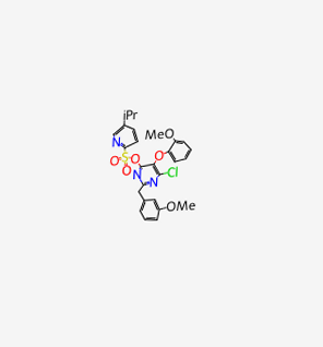 COc1cccc(Cc2nc(Cl)c(Oc3ccccc3OC)c(OS(=O)(=O)c3ccc(C(C)C)cn3)n2)c1